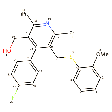 COc1ccccc1SCc1c(C(C)C)nc(C(C)C)c(CO)c1-c1ccc(F)cc1